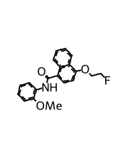 COc1ccccc1NC(=O)c1ccc(OCCF)c2ccccc12